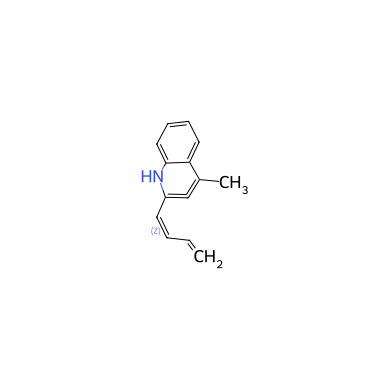 C=C/C=C\C1=C=C(C)c2ccccc2N1